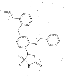 O=C(O)Cc1ccccc1Cc1ccc(N2CC(=O)NS2(=O)=O)c(OCc2ccccc2)c1